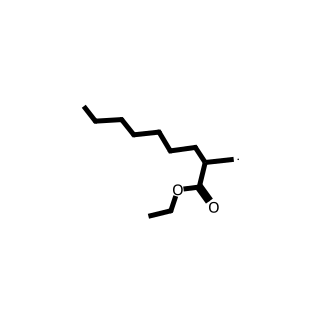 [CH2]C(CCCCCCC)C(=O)OCC